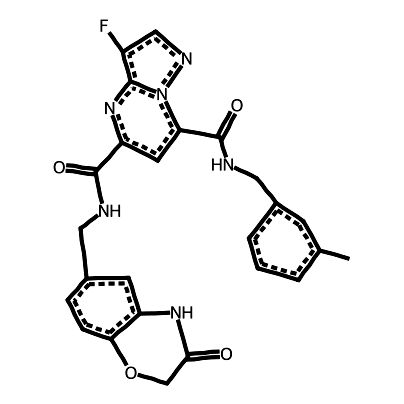 Cc1cccc(CNC(=O)c2cc(C(=O)NCc3ccc4c(c3)NC(=O)CO4)nc3c(F)cnn23)c1